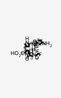 C[C@@H](NC(=O)C(F)F)[C@H]1C(=O)N2C(C(=O)O)=C(S[C@@H]3CN[C@H](CNS(=O)(=O)N4CC[C@H](N)C4)C3)[C@H](C)[C@@H]12